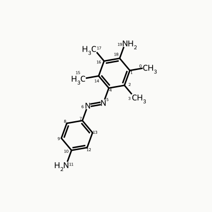 Cc1c(C)c(N=Nc2ccc(N)cc2)c(C)c(C)c1N